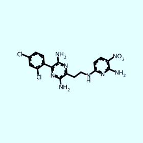 Nc1nc(NCCc2nc(N)c(-c3ccc(Cl)cc3Cl)nc2N)ccc1[N+](=O)[O-]